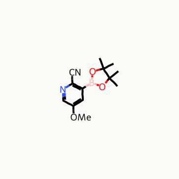 COc1cnc(C#N)c(B2OC(C)(C)C(C)(C)O2)c1